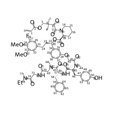 C=CC(=O)OCC(C)(C)C(=O)C(=O)N1CCCC[C@H]1C(=O)O[C@H](CCc1cc(F)c(OC)c(OC)c1)c1cccc(OCC(=O)N(C)[C@@H](Cc2ccc(O)cc2)C(=O)N[C@H](Cc2ccccc2)C(=O)N(C)CC(=O)NCC(=O)N(C)CC)c1